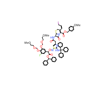 COCCOCOc1cc(C(ON=S2C=C(CC(=O)N[C@@H]3C(=O)N4C(C(=O)OCc5ccc(OC)cc5)=C(/C=C\CI)CSC34)N=C2NC(c2ccccc2)(c2ccccc2)c2ccccc2)C(=O)OC(c2ccccc2)c2ccccc2)cc(F)c1OCOCCOC